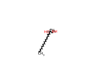 CCCCCCCCCCCCCCC/C=C/[C@H](O)[C@H](C)CO